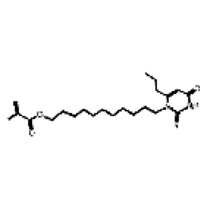 C=C(C)C(=O)OCCCCCCCCCCCn1c(CCC)cc(=O)[nH]c1=S